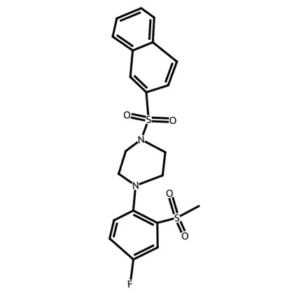 CS(=O)(=O)c1cc(F)ccc1N1CCN(S(=O)(=O)c2ccc3ccccc3c2)CC1